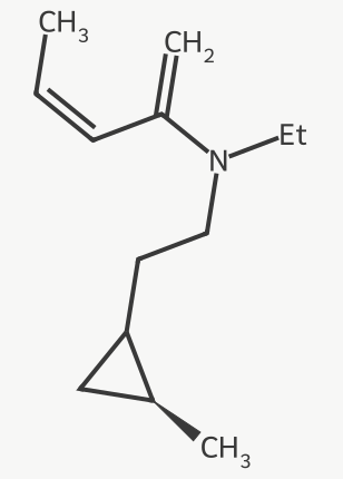 C=C(/C=C\C)N(CC)CCC1C[C@@H]1C